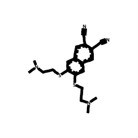 CN(C)CCSc1cc2cc(C#N)c(C#N)cc2cc1SCCN(C)C